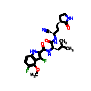 COc1c(F)ccc2[nH]c(C(=O)N[C@@H](CC(C)C)C(=O)N[C@H](C#N)CC[C@@H]3CCNC3=O)c(F)c12